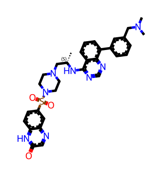 C[C@@H](CN1CCN(S(=O)(=O)c2ccc3[nH]c(=O)cnc3c2)CC1)Nc1ncnc2c(-c3cccc(CN(C)C)c3)cccc12